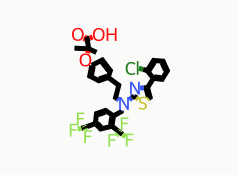 CC(C)(Oc1ccc(CCN(Cc2ccc(C(F)(F)F)cc2C(F)(F)F)c2nc(-c3ccccc3Cl)cs2)cc1)C(=O)O